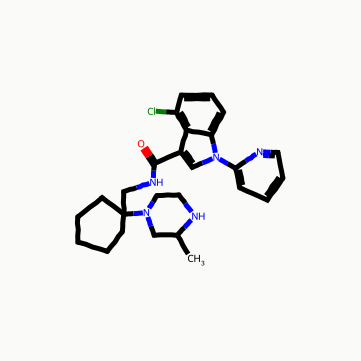 CC1CN(C2(CNC(=O)c3cn(-c4ccccn4)c4cccc(Cl)c34)CCCCC2)CCN1